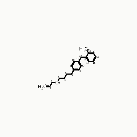 C=CCOCCCCc1ccc(Cc2cc[c]cc2C)cc1